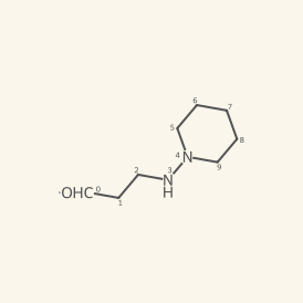 O=[C]CCNN1CCCCC1